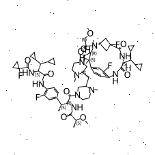 CO[C@@H](C)C(=O)N[C@@H](C(=O)N1CCN(C)C(C[C@@H]2CN(C(=O)[C@H]3[C@@H](C)c4ccc(c(F)c4)NC(=O)[C@H](C(C4CC4)C4CC4)NC(=O)C4(F)CC(C4)[N+]3(C)C(=O)[C@H](C)OC)CCN2C)C1)[C@@H](C)c1ccc(NC(=O)[C@@H](NC(=O)C2(F)CC2)C(C2CC2)C2CC2)c(F)c1